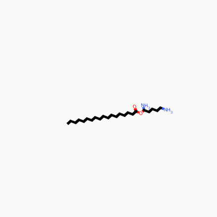 CCCCCCCCCCCCCCCCCC(=O)OC(N)CCCCN